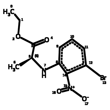 CCOC(=O)[C@H](C)Nc1cccc(Br)c1[N+](=O)[O-]